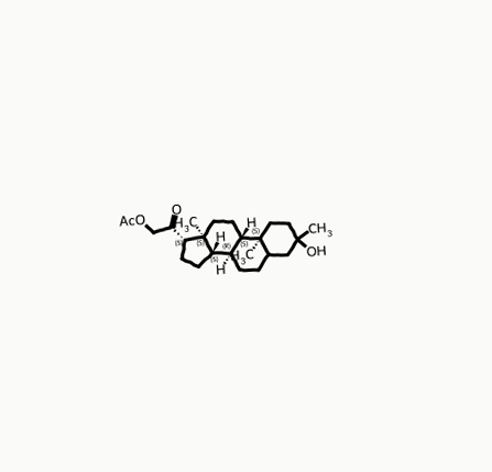 CC(=O)OCC(=O)[C@H]1CC[C@H]2[C@@H]3CCC4CC(C)(O)CC[C@]4(C)[C@H]3CC[C@]12C